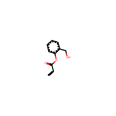 C=CC(=O)Oc1ccccc1CO